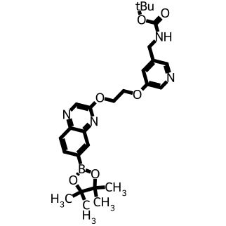 CC(C)(C)OC(=O)NCc1cncc(OCCOc2cnc3ccc(B4OC(C)(C)C(C)(C)O4)cc3n2)c1